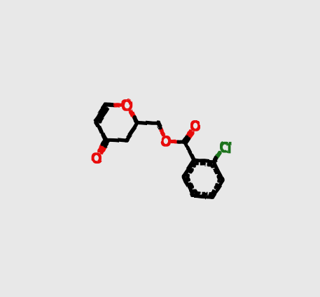 O=C1C=COC(COC(=O)c2ccccc2Cl)C1